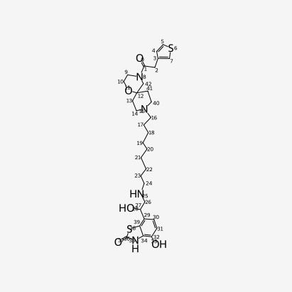 O=C(Cc1ccsc1)N1CCOC2(CCN(CCCCCCCCCNCC(O)c3ccc(O)c4[nH]c(=O)sc34)CC2)C1